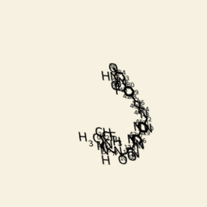 CC(C)(c1n[nH]c(CNC(=O)c2cc(-c3ncc(-c4cnc(CN5CC6(CC(c7ccc(N8CCC(=O)NC8=O)c(F)c7)C6)C5)cn4)cn3)no2)n1)C(F)(F)F